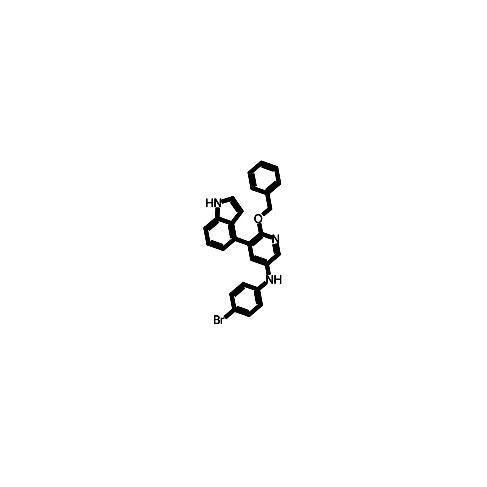 Brc1ccc(Nc2cnc(OCc3ccccc3)c(-c3cccc4[nH]ccc34)c2)cc1